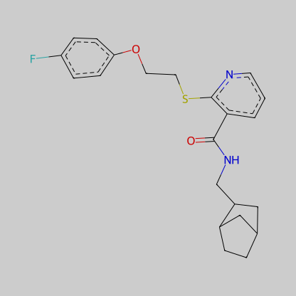 O=C(NCC1CC2CCC1C2)c1cccnc1SCCOc1ccc(F)cc1